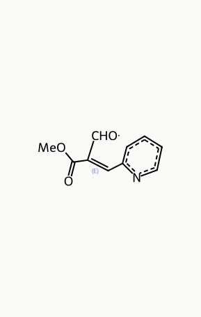 COC(=O)/C([C]=O)=C/c1ccccn1